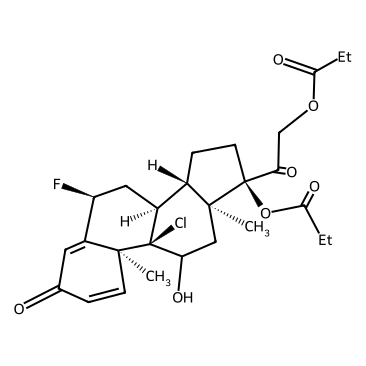 CCC(=O)OCC(=O)[C@@]1(OC(=O)CC)CC[C@H]2[C@@H]3C[C@H](F)C4=CC(=O)C=C[C@]4(C)[C@@]3(Cl)C(O)C[C@@]21C